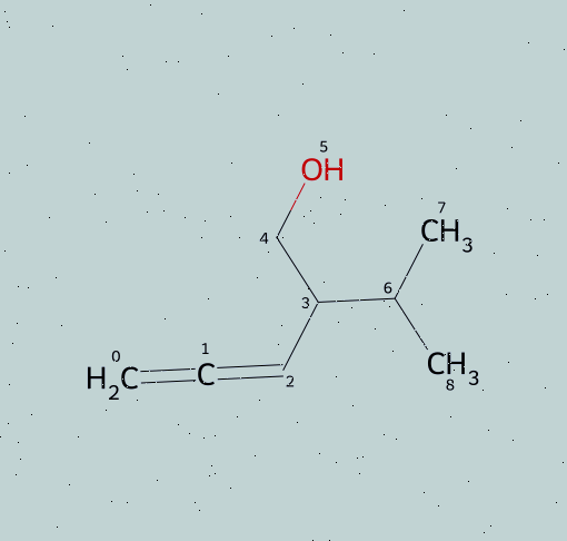 C=C=CC(CO)C(C)C